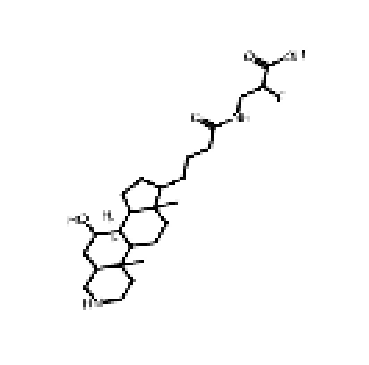 CC12CCC3[C@@H](C(O)CC4CNCCC43C)C1CCC2CCCC(=O)NCC(F)C(=O)O